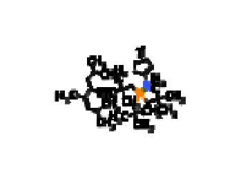 CC(=CC(C)C)C(C)=CC(C)C.CC(C)(C)CP(CC(C)(C)C)(CC(C)(C)C)=NC1=CC=CC1.[Ti]